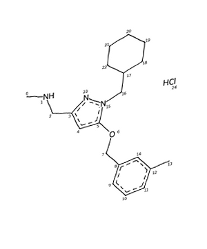 CNCc1cc(OCc2cccc(C)c2)n(CC2CCCCC2)n1.Cl